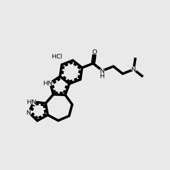 CN(C)CCNC(=O)c1ccc2[nH]c3c(c2c1)CCCc1cn[nH]c1-3.Cl